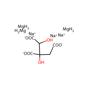 O=C([O-])CC(O)(C(=O)[O-])C(O)C(=O)[O-].[MgH2].[MgH2].[MgH2].[Na+].[Na+].[Na+]